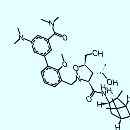 COc1c(CN2O[C@@H](CO)[C@H]([C@H](C)O)[C@H]2C(=O)N[C@H]2C[C@H]3C[C@@H]([C@@H]2C)C3(C)C)cccc1-c1cc(C(=O)N(C)C)cc(N(C)C)c1